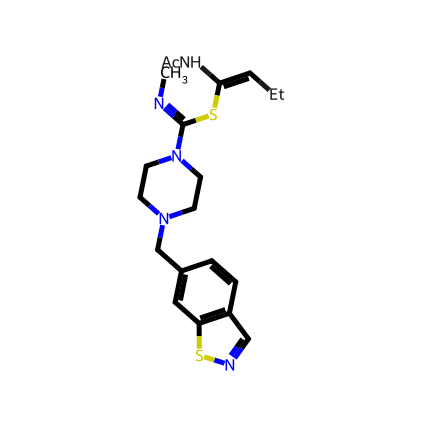 CC/C=C(/NC(C)=O)S/C(=N\C)N1CCN(Cc2ccc3cnsc3c2)CC1